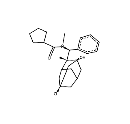 CN(C(=O)C1CCCC1)[C@@H](c1ccccc1)[C@@]1(C)C2CC3C[C@](Cl)(C2)C[C@@]1(O)C3